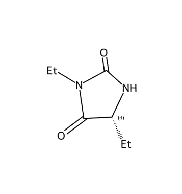 CC[C@H]1NC(=O)N(CC)C1=O